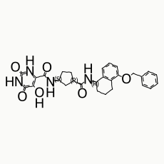 O=C(N[C@H]1CC[C@@H](C(=O)N[C@@H]2CCCc3c(OCc4ccccc4)cccc32)C1)c1[nH]c(=O)[nH]c(=O)c1O